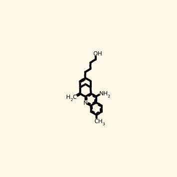 C=C1c2nc3cc(C)ccc3c(N)c2C2CC(CCCCO)=CC1C2